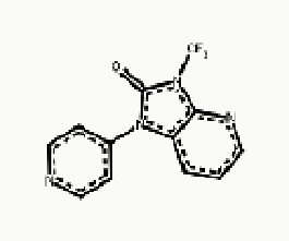 O=c1n(-c2ccncc2)c2cccnc2n1C(F)(F)F